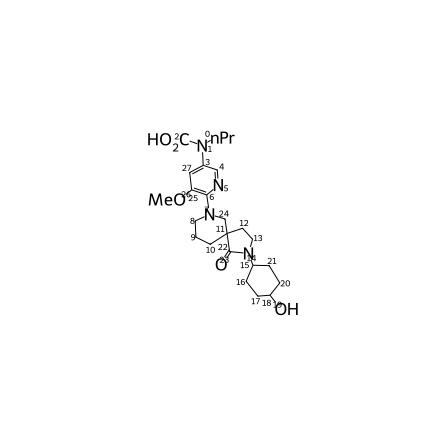 CCCN(C(=O)O)c1cnc(N2CCCC3(CCN(C4CCC(O)CC4)C3=O)C2)c(OC)c1